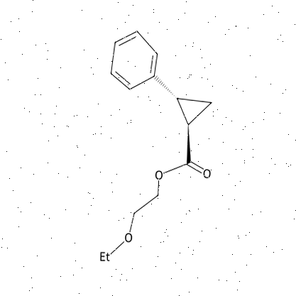 CCOCCOC(=O)[C@@H]1C[C@H]1c1ccccc1